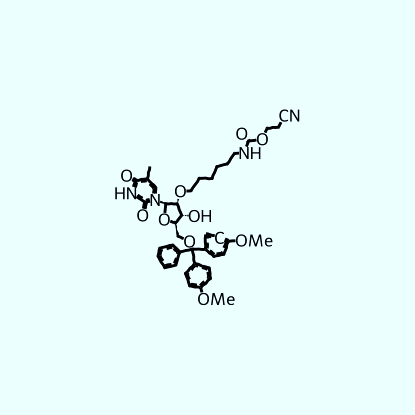 COc1ccc(C(OC[C@H]2O[C@@H](n3cc(C)c(=O)[nH]c3=O)[C@H](OCCCCCCNC(=O)OCCC#N)[C@@H]2O)(c2ccccc2)c2ccc(OC)cc2)cc1